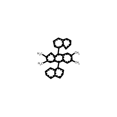 Cc1cc2c(-c3cccc4ccccc34)c3cc(C)c(C)cc3c(-c3cccc4ccccc34)c2cc1C